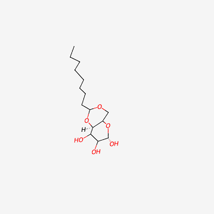 CCCCCCCCC1OCC2O[C@H](O)C(O)C(O)[C@H]2O1